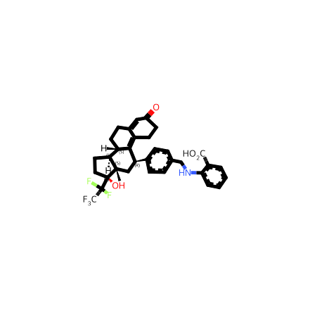 C[C@]12C[C@H](c3ccc(CNc4ccccc4C(=O)O)cc3)C3=C4CCC(=O)C=C4CC[C@H]3[C@@H]1CC[C@@]2(O)C(F)(F)C(F)(F)F